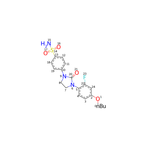 CCCCOc1ccc(N2CCN(c3ccc(S(N)(=O)=O)cc3)C2=O)c(F)c1